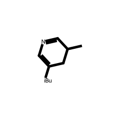 CCC(C)C1=CN=CC(C)C1